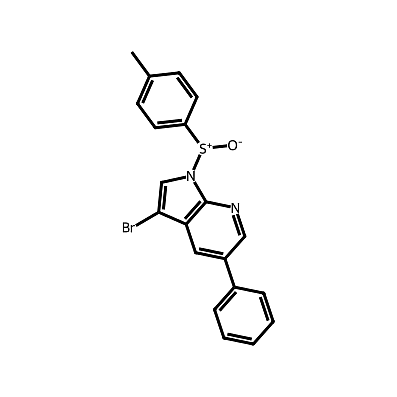 Cc1ccc([S+]([O-])n2cc(Br)c3cc(-c4ccccc4)cnc32)cc1